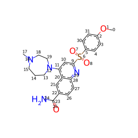 COc1ccc(S(=O)(=O)c2cc(N3CCCN(C)CC3)c3cc(C(N)=O)ccc3n2)cc1